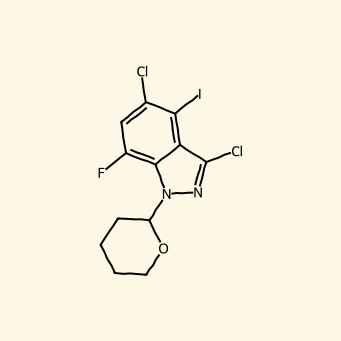 Fc1cc(Cl)c(I)c2c(Cl)nn(C3CCCCO3)c12